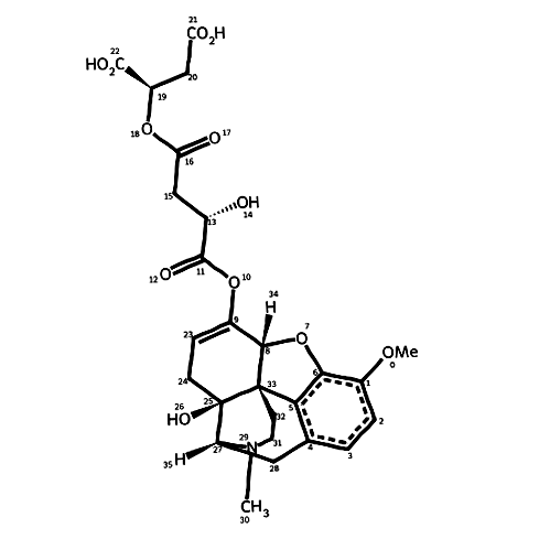 COc1ccc2c3c1O[C@H]1C(OC(=O)[C@@H](O)CC(=O)O[C@H](CC(=O)O)C(=O)O)=CC[C@@]4(O)[C@@H](C2)N(C)CC[C@]314